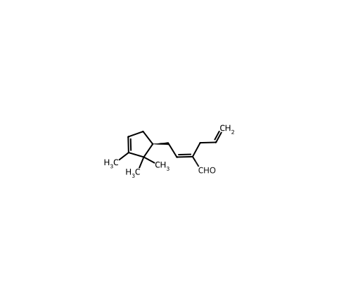 C=CCC(C=O)=CC[C@@H]1CC=C(C)C1(C)C